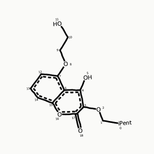 CCCC(C)COc1c(O)c2c(OCCO)cccc2oc1=O